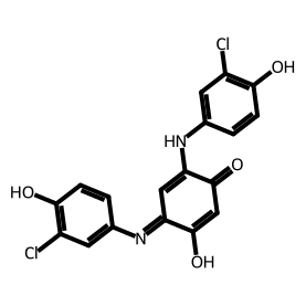 O=C1C=C(O)C(=Nc2ccc(O)c(Cl)c2)C=C1Nc1ccc(O)c(Cl)c1